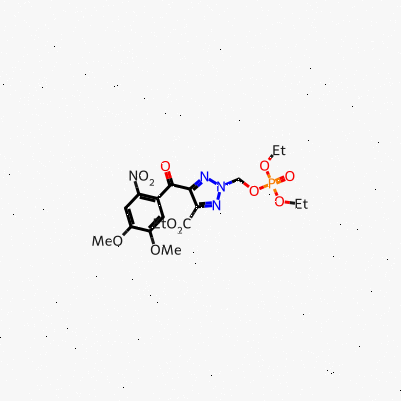 CCOC(=O)c1nn(COP(=O)(OCC)OCC)nc1C(=O)c1cc(OC)c(OC)cc1[N+](=O)[O-]